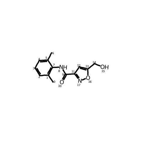 Cc1cccc(C)c1NC(=O)c1cc(CO)on1